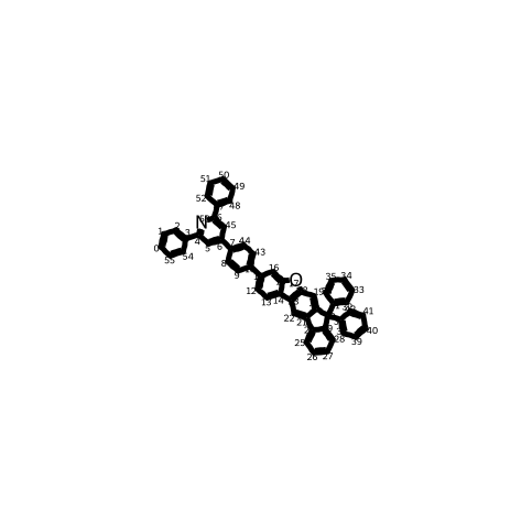 c1ccc(-c2cc(-c3ccc(-c4ccc5c(c4)oc4cc6c(cc45)-c4ccccc4C6(c4ccccc4)c4ccccc4)cc3)cc(-c3ccccc3)n2)cc1